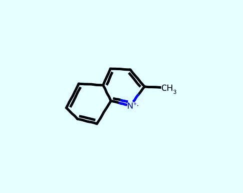 CC1=CC=c2ccccc2=[N+]1